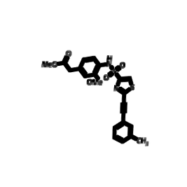 COC(=O)Cc1ccc(NS(=O)(=O)c2csc(C#Cc3cccc(C)c3)n2)c(OC)c1